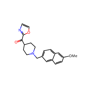 COc1ccc2cc(CN3CCC(C(=O)c4ncco4)CC3)ccc2c1